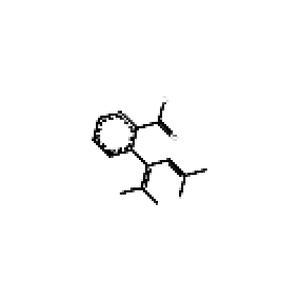 CC(C)=CC(=C(C)C)c1ccccc1C(=O)O